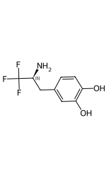 N[C@@H](Cc1ccc(O)c(O)c1)C(F)(F)F